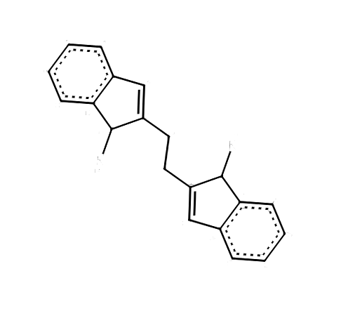 [K][CH]1C(CCC2=Cc3ccccc3[CH]2[K])=Cc2ccccc21